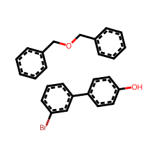 Oc1ccc(-c2cccc(Br)c2)cc1.c1ccc(COCc2ccccc2)cc1